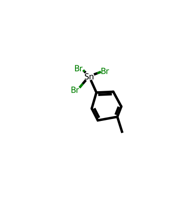 Cc1cc[c]([Sn]([Br])([Br])[Br])cc1